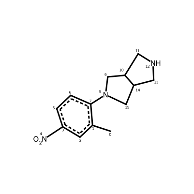 Cc1cc([N+](=O)[O-])ccc1N1CC2CNCC2C1